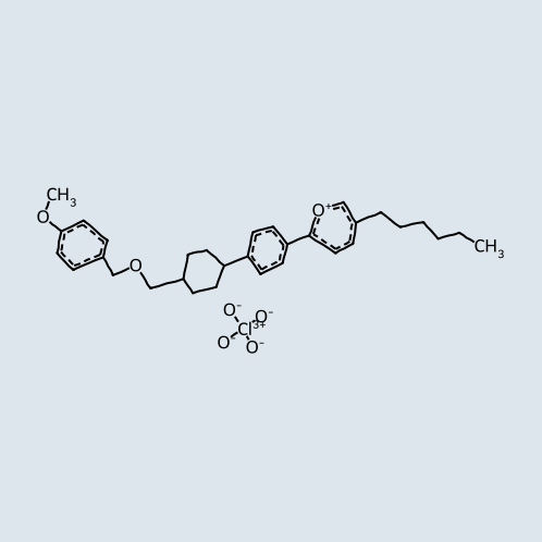 CCCCCCc1ccc(-c2ccc(C3CCC(COCc4ccc(OC)cc4)CC3)cc2)[o+]c1.[O-][Cl+3]([O-])([O-])[O-]